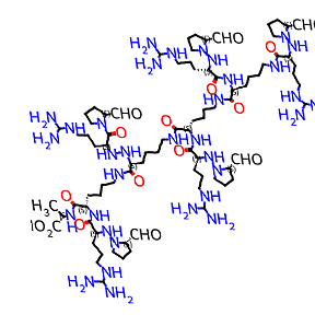 C[C@H](NC(=O)[C@H](CCCCNC(=O)[C@H](CCCCNC(=O)[C@H](CCCCNC(=O)[C@H](CCCCNC(=O)[C@H](CCCNC(N)N)NN1CCC[C@H]1C=O)NC(=O)[C@H](CCCNC(N)N)NN1CCC[C@H]1C=O)NC(=O)[C@H](CCCNC(N)N)NN1CCC[C@H]1C=O)NN[C@@H](CCCNC(N)N)C(=O)N1CCC[C@H]1C=O)NC(=O)[C@H](CCCNC(N)N)NN1CCC[C@H]1C=O)C(=O)O